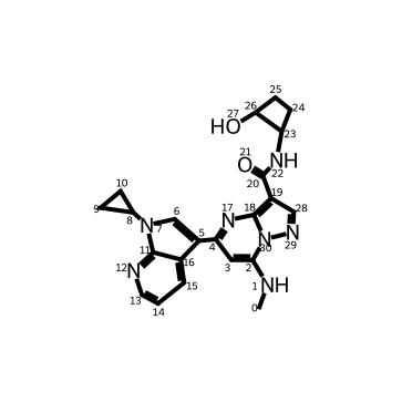 CNc1cc(-c2cn(C3CC3)c3ncccc23)nc2c(C(=O)NC3CCC3O)cnn12